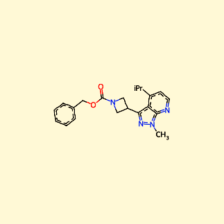 CC(C)c1ccnc2c1c(C1CN(C(=O)OCc3ccccc3)C1)nn2C